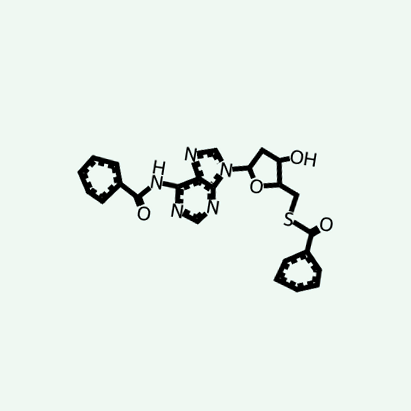 O=C(Nc1ncnc2c1ncn2C1CC(O)C(CSC(=O)c2ccccc2)O1)c1ccccc1